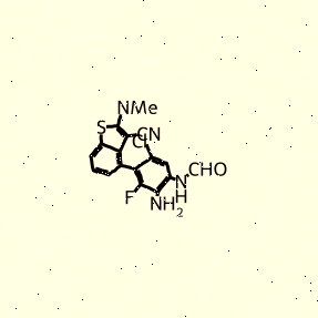 CNc1sc2cccc(-c3c(Cl)cc(NC=O)c(N)c3F)c2c1C#N